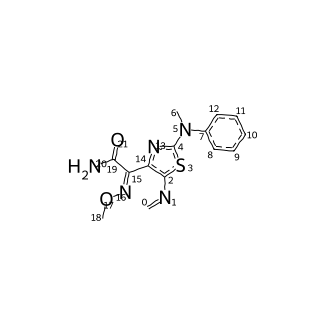 C=Nc1sc(N(C)c2ccccc2)nc1C(=NOC)C(N)=O